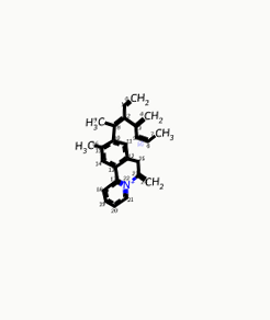 C=CC(C(=C)/C=C\C)=C(C)c1cc2c(cc1C)-c1cccc[n+]1C(=C)C2